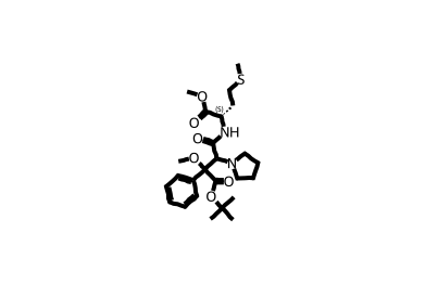 COC(=O)[C@H](CCSC)NC(=O)C(N1CCCC1)C(OC)(C(=O)OC(C)(C)C)c1ccccc1